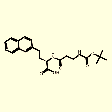 CC(C)(C)OC(=O)NCCC(=O)N[C@H](CCc1ccc2ccccc2c1)C(=O)O